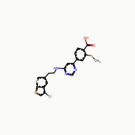 CSc1cc(-c2cc(NCCc3ccc4scc(Cl)c4c3)ncn2)ccc1C(=O)O